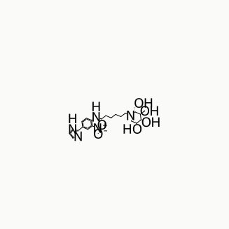 O=[N+]([O-])c1cc(-c2ncc[nH]2)ccc1NCCCCCCN1C[C@H](O)[C@@H](O)[C@H](O)[C@H]1CO